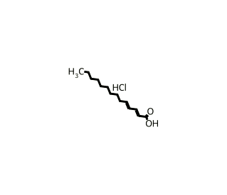 CCCCCCCCCC=CC=CC(=O)O.Cl